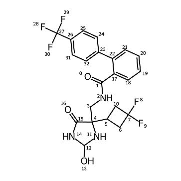 O=C(NCC1(C2CC(F)(F)C2)NC(O)NC1=O)c1ccccc1-c1ccc(C(F)(F)F)cc1